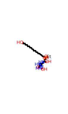 CCOP(=O)(CC[C@@H](CO)NCC1CNc2c1nc(O)[nH]c2=O)OCCCCCCCCCCCCCCCCCCCCCO